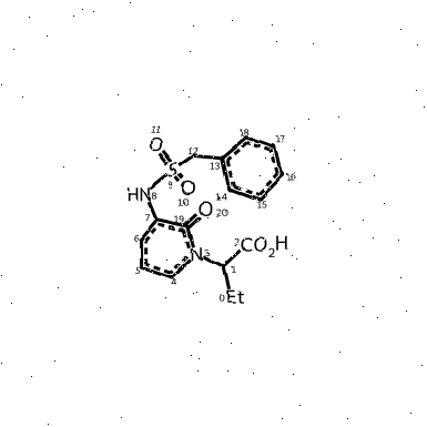 CCC(C(=O)O)n1cccc(NS(=O)(=O)Cc2ccccc2)c1=O